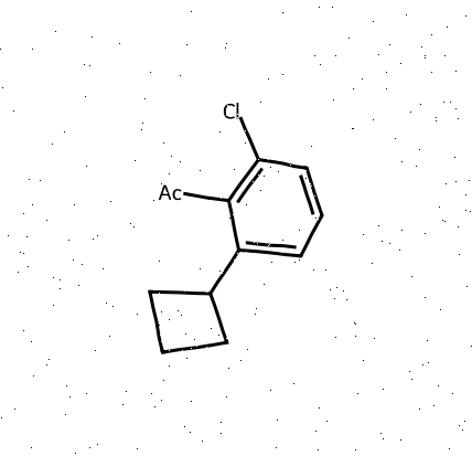 CC(=O)c1c(Cl)cccc1C1CCC1